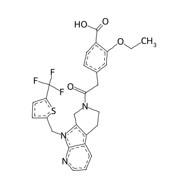 CCOc1cc(CC(=O)N2CCc3c(n(Cc4ccc(C(F)(F)F)s4)c4ncccc34)C2)ccc1C(=O)O